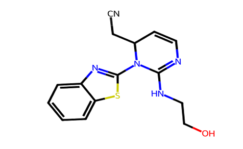 N#CCC1C=CN=C(NCCO)N1c1nc2ccccc2s1